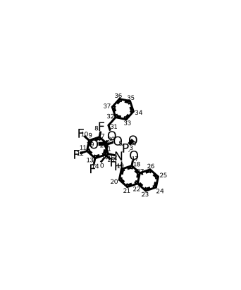 C[C@H](NP(=O)(Oc1c(F)c(F)c(F)c(F)c1F)Oc1cccc2ccccc12)C(=O)OCc1ccccc1